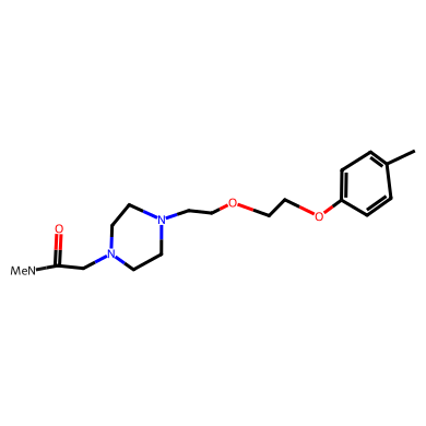 CNC(=O)CN1CCN(CCOCCOc2ccc(C)cc2)CC1